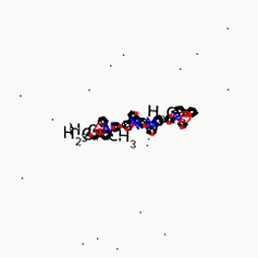 C=C/C=C\c1c(C)oc2c(N(c3ccccc3)c3ccc(-c4ccc5c(c4)c4cccc6c7cc8c(cc7n5c46)c4cccc5c6cc(-c7ccc(N(c9ccccc9)c9c(C)ccc%10c9oc9ccccc9%10)cc7)ccc6n8c54)cc3)c(C)ccc12